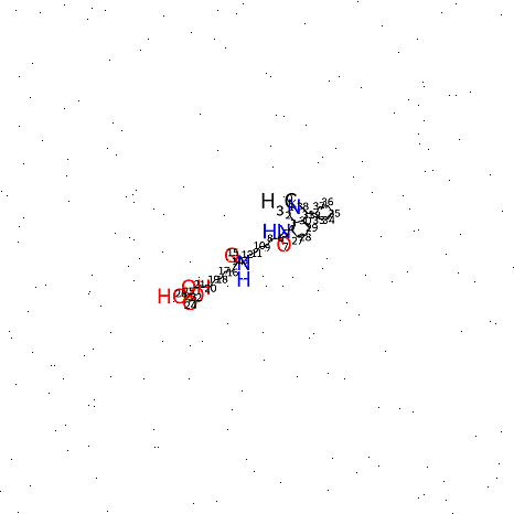 CN1Cc2c(NC(=O)CCCCCNC(=O)CCCCCCOP(=O)(O)O)cccc2C(c2ccccc2)C1